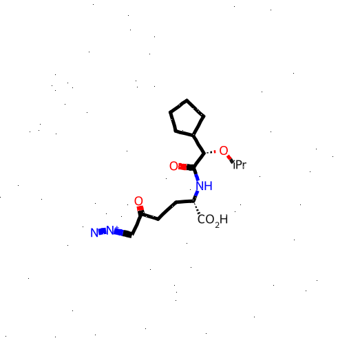 CC(C)O[C@H](C(=O)N[C@@H](CCC(=O)C=[N+]=[N-])C(=O)O)C1CCCC1